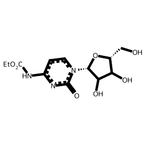 CCOC(=O)Nc1ccn([C@@H]2O[C@H](CO)C(O)C2O)c(=O)n1